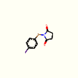 O=C1CCC(=O)N1Sc1ccc(I)cc1